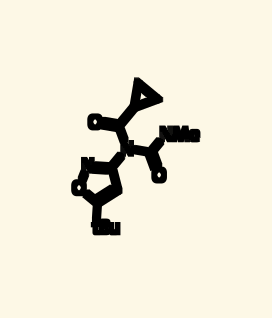 CNC(=O)N(C(=O)C1CC1)c1cc(C(C)(C)C)on1